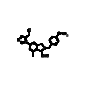 Cc1cc(-n2cncc2CCl)cc2c1C(C=O)N(Cc1ccc(OC(F)(F)F)cc1)C2